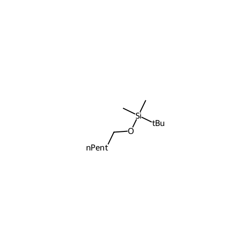 CCCCCCO[Si](C)(C)C(C)(C)C